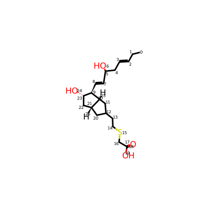 CC/C=C/CC(O)C=C[C@H]1[C@@H]2CC(CCSCC(=O)O)C[C@@H]2C[C@@H]1O